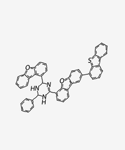 c1ccc(C2NC(c3cccc4c3oc3ccc(-c5cccc6c5sc5ccccc56)cc34)=NC(c3cccc4oc5ccccc5c34)N2)cc1